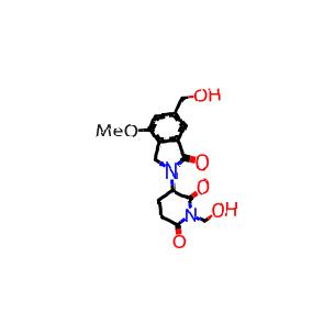 COc1cc(CO)cc2c1CN(C1CCC(=O)N(CO)C1=O)C2=O